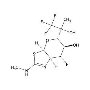 CNC1=N[C@@H]2[C@@H](F)[C@H](O)[C@@H](C(C)(O)C(F)(F)F)O[C@@H]2S1